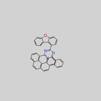 c1ccc(-c2nc(-c3cccc4oc5ccccc5c34)nc(-c3cccc4ccc5ccc6ccccc6c5c34)n2)cc1